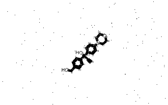 C#CC(O)(c1ccc(CO)cc1)c1ccc(N2CCOCC2)cc1